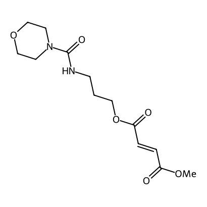 COC(=O)/C=C/C(=O)OCCCNC(=O)N1CCOCC1